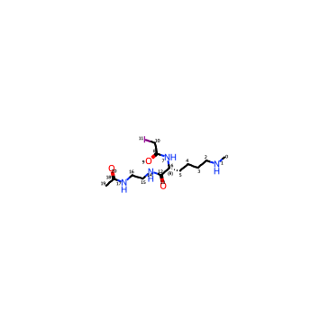 CNCCCC[C@@H](NC(=O)CI)C(=O)NCCNC(C)=O